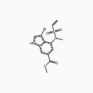 C=CS(=O)(=O)N(C)c1cc(C(=O)OC)cc2[nH]cc(Br)c12